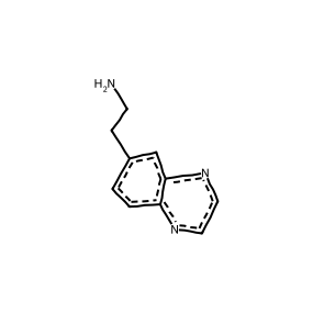 NCCc1ccc2nccnc2c1